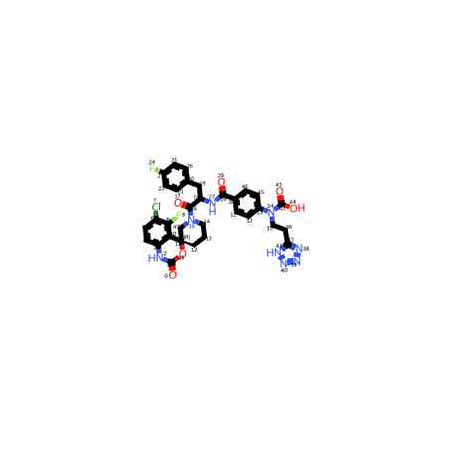 O=C1Nc2ccc(Cl)c(F)c2[C@@]2(CCCN(C(=O)C(Cc3ccc(F)cc3)NC(=O)c3ccc(N(CCc4nnn[nH]4)C(=O)O)cc3)C2)O1